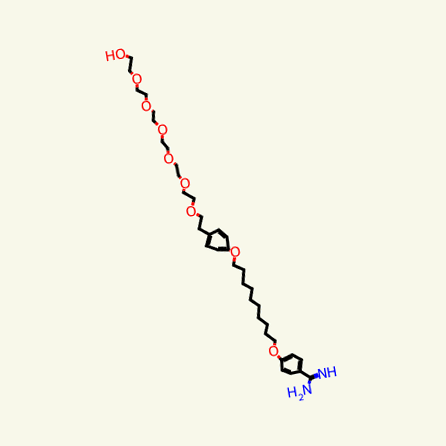 N=C(N)c1ccc(OCCCCCCCCCCOc2ccc(CCOCCOCCOCCOCCOCCOCCO)cc2)cc1